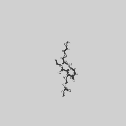 CCN1C(=O)c2c(OCOC(=O)OC)c(=O)ccn2NC1COCCOC